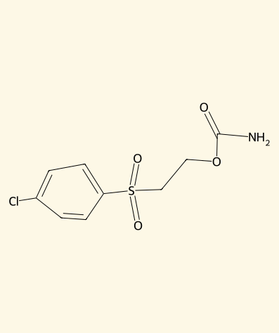 NC(=O)OCCS(=O)(=O)c1ccc(Cl)cc1